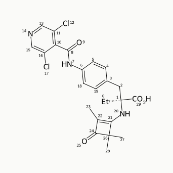 CC[C@@](Cc1ccc(NC(=O)c2c(Cl)cncc2Cl)cc1)(NC1=C(C)C(=O)C1(C)C)C(=O)O